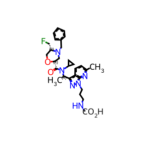 Cc1ccc2c([C@@H](C)N(C(=O)[C@H]3CN(Cc4ccccc4)[C@@H](CF)CO3)C3CC3)nn(CCCNC(=O)O)c2n1